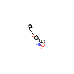 CCC1(CCc2ccc(OCCCCc3ccccc3)cc2)COC(=O)N1